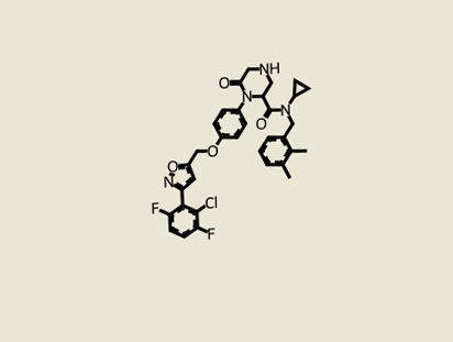 Cc1cccc(CN(C(=O)C2CNCC(=O)N2c2ccc(OCc3cc(-c4c(F)ccc(F)c4Cl)no3)cc2)C2CC2)c1C